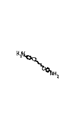 NCc1ccc(OCCCCCCOc2ccc(CN)cc2)cc1